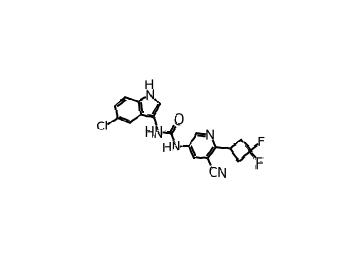 N#Cc1cc(NC(=O)Nc2c[nH]c3ccc(Cl)cc23)cnc1C1CC(F)(F)C1